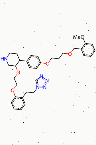 COc1ccccc1COCCCOc1ccc(C2CCNCC2OCCOc2ccccc2CCn2cnnn2)cc1